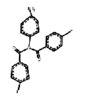 Nc1ccc(N(C(=O)c2ccc(F)cc2)C(=O)c2ccc(F)cc2)cc1